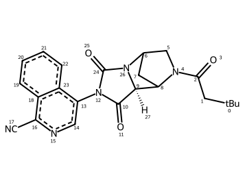 CC(C)(C)CC(=O)N1CC2CC1[C@H]1C(=O)N(c3cnc(C#N)c4ccccc34)C(=O)N21